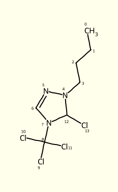 CCCCN1N=CN(C(Cl)(Cl)Cl)C1Cl